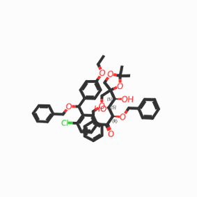 CCOc1ccc(C(OCc2ccccc2)c2cc(C(=O)[C@H](OCc3ccccc3)[C@@H](O)[C@H](O)C3(COCc4ccccc4)COC(C)(C)O3)ccc2Cl)cc1